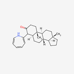 C[C@@]12CCC[C@H]1[C@@H]1CC[C@H]3C(C4=CC=CC=CN4)C(=O)CC[C@]3(C)[C@H]1CC2